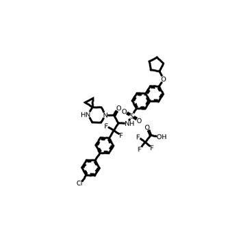 O=C(C(NS(=O)(=O)c1ccc2cc(OC3CCCC3)ccc2c1)C(F)(F)c1ccc(-c2ccc(Cl)cc2)cc1)N1CCNC2(CC2)C1.O=C(O)C(F)(F)F